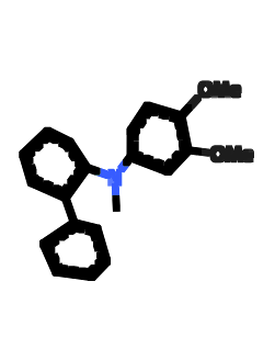 COc1ccc(N(C)c2ccccc2-c2ccccc2)cc1OC